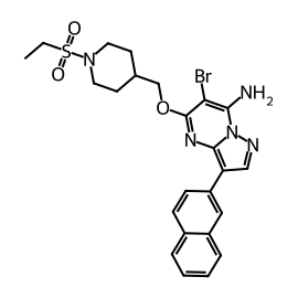 CCS(=O)(=O)N1CCC(COc2nc3c(-c4ccc5ccccc5c4)cnn3c(N)c2Br)CC1